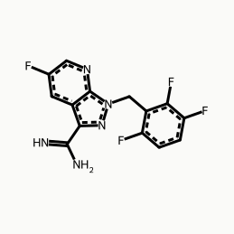 N=C(N)c1nn(Cc2c(F)ccc(F)c2F)c2ncc(F)cc12